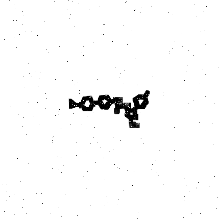 Cc1ccc(-n2nc(C(C)(C)C)cc2NC(=O)Nc2ccc(N3CCN(C4CC4)CC3)cc2)cc1